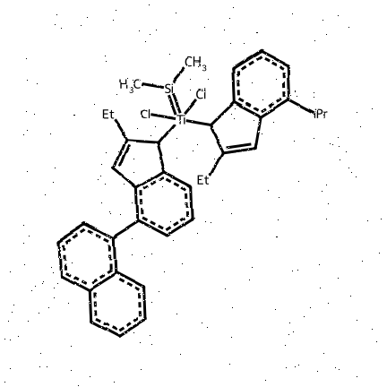 CCC1=Cc2c(-c3cccc4ccccc34)cccc2[CH]1[Ti]([Cl])([Cl])([CH]1C(CC)=Cc2c(C(C)C)cccc21)=[Si](C)C